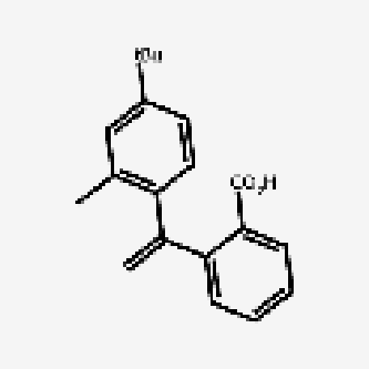 C=C(c1ccc(C(C)(C)C)cc1C)c1ccccc1C(=O)O